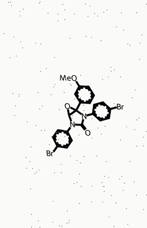 COc1cccc(C23OC2N(c2ccc(Br)cc2)C(=O)N3c2ccc(Br)cc2)c1